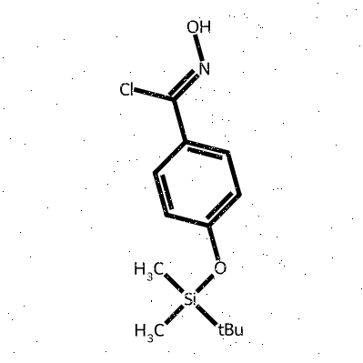 CC(C)(C)[Si](C)(C)Oc1ccc(C(Cl)=NO)cc1